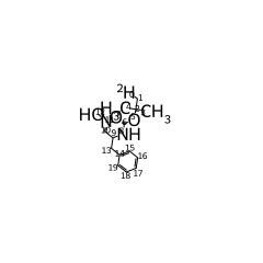 [2H]CC(C)(C)OC(=O)NC(/C=N/O)Cc1ccccc1